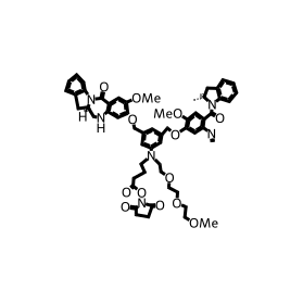 C=Nc1cc(OCc2cc(COc3cc4c(cc3OC)C(=O)N3c5ccccc5C[C@H]3CN4)cc(N(CCCC(=O)ON3C(=O)CCC3=O)CCOCCOCCOC)c2)c(OC)cc1C(=O)N1c2ccccc2C[C@H]1C